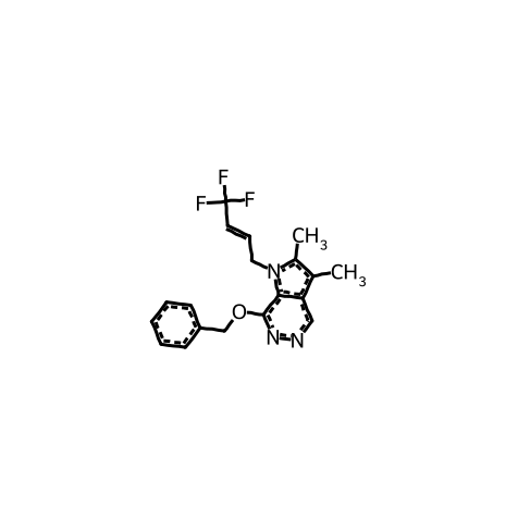 Cc1c(C)n(C/C=C/C(F)(F)F)c2c(OCc3ccccc3)nncc12